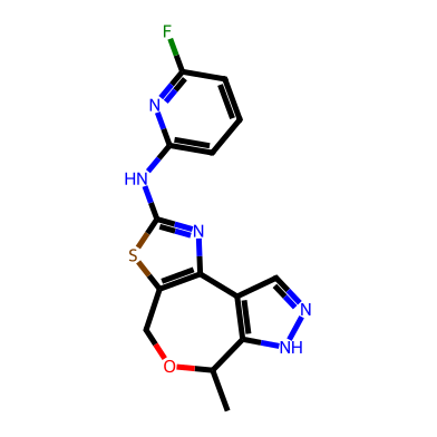 CC1OCc2sc(Nc3cccc(F)n3)nc2-c2cn[nH]c21